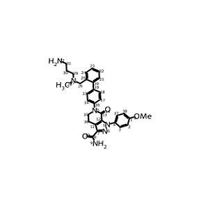 COc1ccc(-n2nc(C(N)=O)c3c2C(=O)N(c2ccc(-c4ccccc4CN(C)CCCN)cc2)CC3)cc1